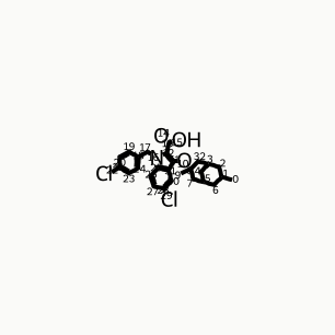 CC1CC2CC(C1)CC(C)(Oc1c(C(=O)O)n(Cc3ccc(Cl)cc3)c3ccc(Cl)cc13)C2